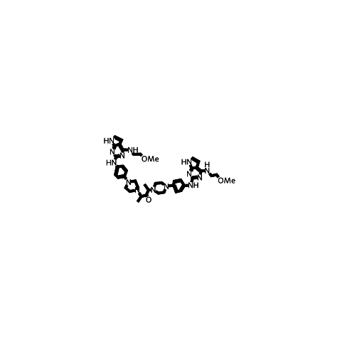 COCCNc1nc(Nc2ccc(N3CCN(C(C)C(=O)C(C)N4CCN(c5ccc(Nc6nc(NCCOC)c7cc[nH]c7n6)cc5)CC4)CC3)cc2)nc2[nH]ccc12